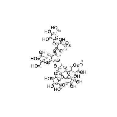 CO[C@@H]1OC[C@@H](O[C@@H]2OC[C@@H](O[C@@H]3OC[C@@H](O[C@@H]4OC[C@@H](OC)[C@H](O)C4O[C@@H]4O[C@@H](CO)[C@H](O)[C@H]4O)C(C[C@@H]4C[C@@H](CO)C(O)[C@H]4O)C3O)[C@H](O[C@@H]3O[C@@H](CO)[C@H](O)[C@H]3O)C2O[C@@H]2O[C@@H](CO)C(O)C2O)C(O)C1O